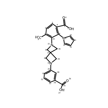 Cc1ccc(C(=O)O)c(-n2cccc2)c1N1CC2(CN(c3cccc(C(=O)O)c3)C2)C1